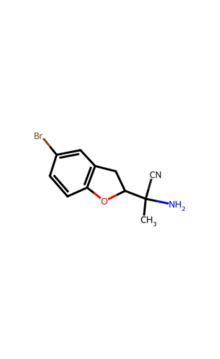 CC(N)(C#N)C1Cc2cc(Br)ccc2O1